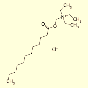 CCCCCCCCCCCC(=O)OC[N+](CC)(CC)CC.[Cl-]